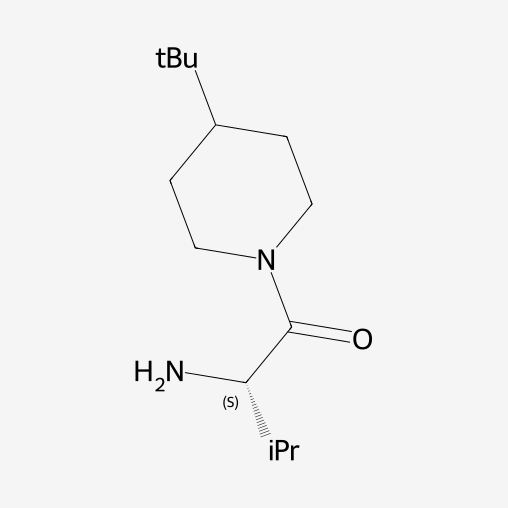 CC(C)[C@H](N)C(=O)N1CCC(C(C)(C)C)CC1